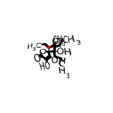 CCCC(O)(CCC)[C@@](O)(CCC)[C@@]1(CCC)OC(=O)C(O)=C1O